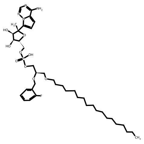 CCCCCCCCCCCCCCCCCCOC[C@H](COP(=O)(O)OC[C@H]1O[C@@](C)(c2ccc3c(N)ncnn23)[C@H](O)[C@@H]1O)OCc1ccccc1F